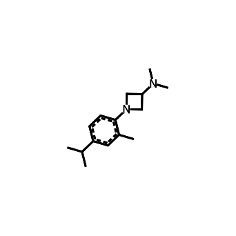 Cc1cc(C(C)C)ccc1N1CC(N(C)C)C1